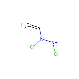 C=CN(Cl)NCl